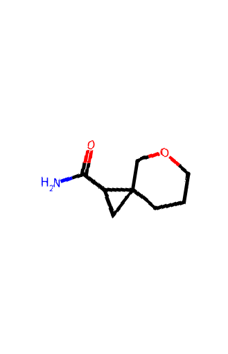 NC(=O)C1CC12CCCOC2